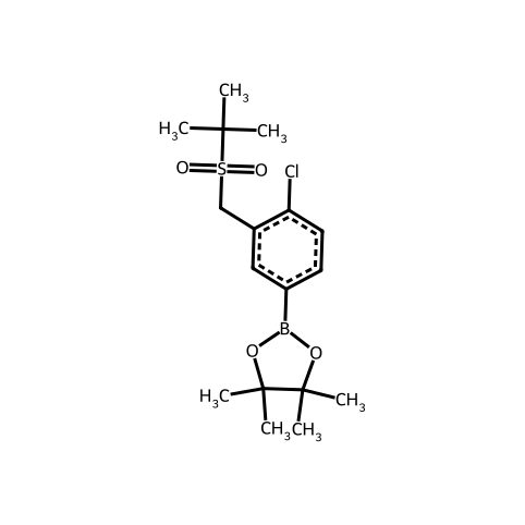 CC1(C)OB(c2ccc(Cl)c(CS(=O)(=O)C(C)(C)C)c2)OC1(C)C